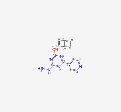 NNc1nc(O)nc(-c2ccncc2)n1.c1cc2ccc1-2